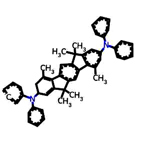 CC1=C2C(=CC(N(c3ccccc3)c3ccccc3)C1)C(C)(C)c1cc3c(cc12)C(C)(C)c1cc(N(c2ccccc2)c2ccccc2)cc(C)c1-3